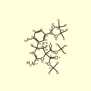 CC(C)(C)OC(=O)C1(C(=O)OC(C)(C)C)OC(N)=NC(C)(c2cc(B3OC(C)(C)C(C)(C)O3)ccc2F)C1(F)F